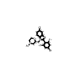 CC(=O)N1CCO[C@@H](Cn2c(-c3c(F)cc(Br)cc3F)nc3cc(Cl)ccc32)C1